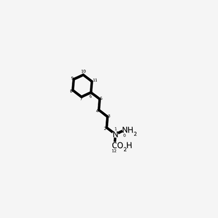 NN(CCCCC1CCCCC1)C(=O)O